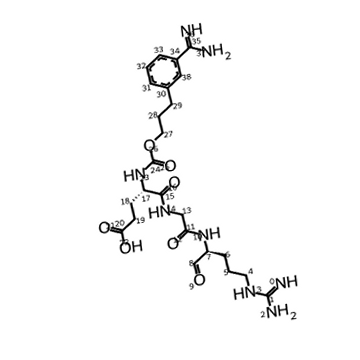 N=C(N)NCCC[C@@H](C=O)NC(=O)CNC(=O)[C@H](CCC(=O)O)NC(=O)OCCCc1cccc(C(=N)N)c1